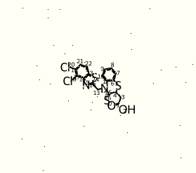 O=C(O)CC1Sc2ccccc2N(Cc2nc3c(Cl)c(Cl)ccc3s2)C1=S